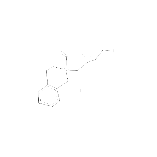 CCCCCCCCCCCCCC[N+]1(C(=O)CCCCCCCCC)CCc2ccccc2C1.[Cl-]